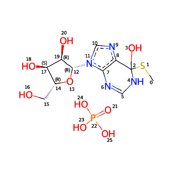 CSC1(O)NC=Nc2c1ncn2[C@@H]1O[C@H](CO)[C@@H](O)[C@H]1O.O=P(O)(O)O